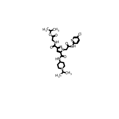 CC(C)OC(=O)CNC(=O)c1cc(C(=O)NC2CCN(C(C)C)CC2)n(CC(=O)Nc2ccc(Cl)cn2)n1